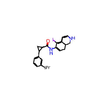 CC(C)c1cccc(C2CC2C(=O)NC2=CCC3CNC=CC3=C2I)c1